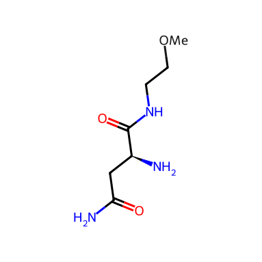 COCCNC(=O)[C@@H](N)CC(N)=O